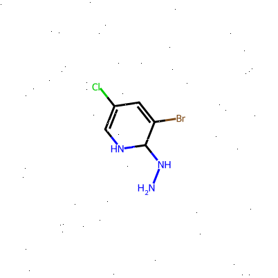 NNC1NC=C(Cl)C=C1Br